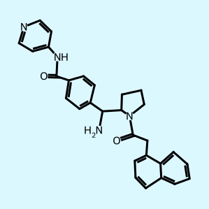 NC(c1ccc(C(=O)Nc2ccncc2)cc1)C1CCCN1C(=O)Cc1cccc2ccccc12